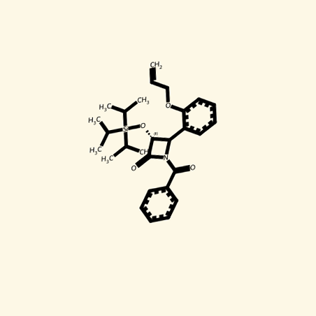 C=CCOc1ccccc1C1[C@@H](O[Si](C(C)C)(C(C)C)C(C)C)C(=O)N1C(=O)c1ccccc1